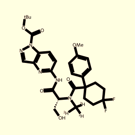 [2H]C([2H])([2H])N(C(=O)C1(c2ccc(OC)cc2)CCC(F)(F)CC1)[C@H](CO)C(=O)Nc1ccc2c(cnn2C(=O)OC(C)(C)C)n1